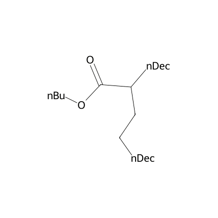 CCCCCCCCCCCCC(CCCCCCCCCC)C(=O)OCCCC